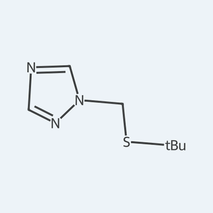 CC(C)(C)SCn1cncn1